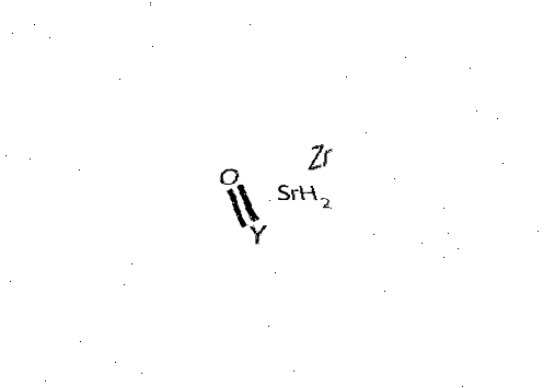 [O]=[Y].[SrH2].[Zr]